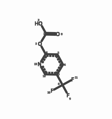 O=C(O)Oc1ccc(C(F)(F)F)cn1